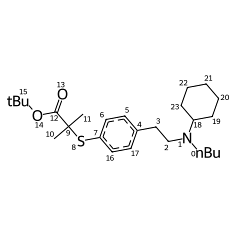 CCCCN(CCc1ccc(SC(C)(C)C(=O)OC(C)(C)C)cc1)C1CCCCC1